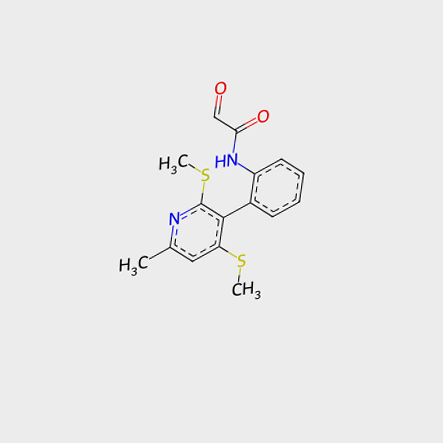 CSc1cc(C)nc(SC)c1-c1ccccc1NC(=O)C=O